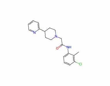 Cc1c(Cl)cccc1NC(=O)CN1CCC(c2ccccn2)CC1